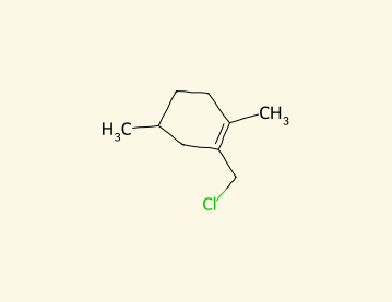 CC1=C(CCl)CC(C)CC1